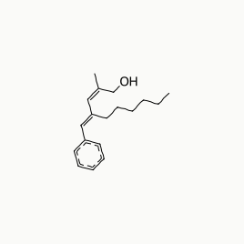 CCCCCCC(/C=C(/C)CO)=C\c1ccccc1